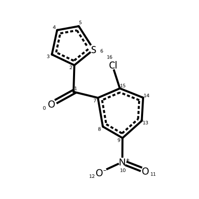 O=C(c1cccs1)c1cc([N+](=O)[O-])ccc1Cl